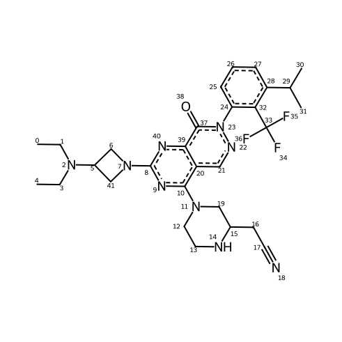 CCN(CC)C1CN(c2nc(N3CCNC(CC#N)C3)c3cnn(-c4cccc(C(C)C)c4C(F)(F)F)c(=O)c3n2)C1